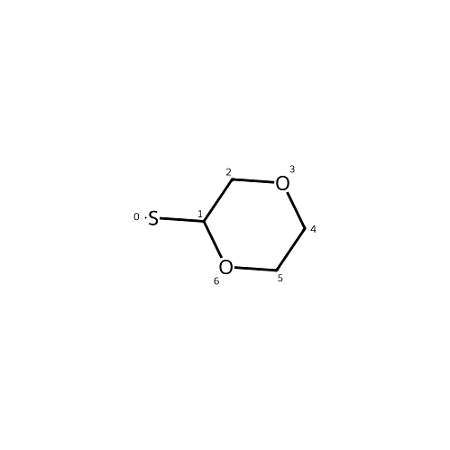 [S]C1COCCO1